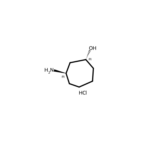 Cl.N[C@@H]1CCCC[C@@H](O)C1